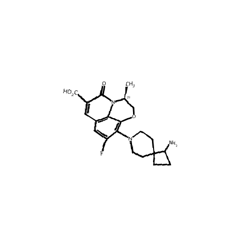 C[C@H]1COc2c(N3CCC4(CCC4N)CC3)c(F)cc3cc(C(=O)O)c(=O)n1c23